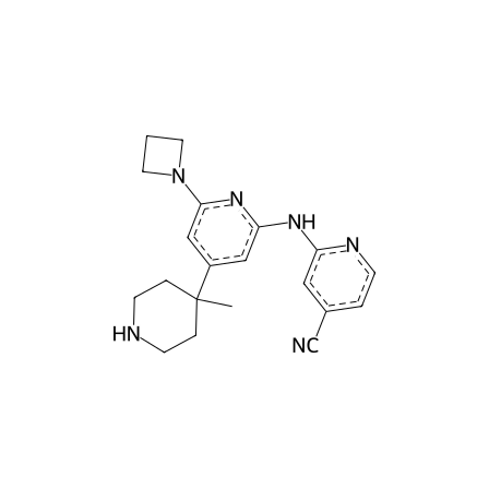 CC1(c2cc(Nc3cc(C#N)ccn3)nc(N3CCC3)c2)CCNCC1